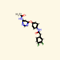 CC(=O)Nc1cc(Oc2ccc(NC(=O)Cc3ccc(F)c(F)c3)cc2)ncn1